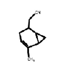 CC1=CCC(CC#N)C2CC12